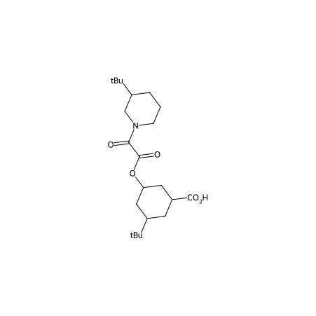 CC(C)(C)C1CC(OC(=O)C(=O)N2CCCC(C(C)(C)C)C2)CC(C(=O)O)C1